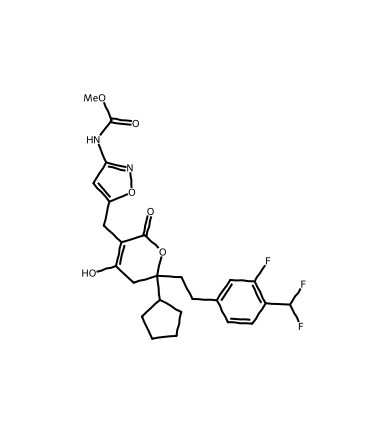 COC(=O)Nc1cc(CC2=C(O)CC(CCc3ccc(C(F)F)c(F)c3)(C3CCCC3)OC2=O)on1